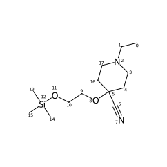 CCN1CCC(C#N)(OCCO[Si](C)(C)C)CC1